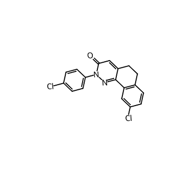 O=c1cc2c(nn1-c1ccc(Cl)cc1)-c1cc(Cl)ccc1CC2